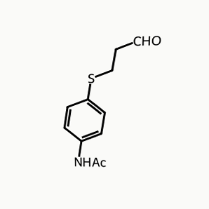 CC(=O)Nc1ccc(SCCC=O)cc1